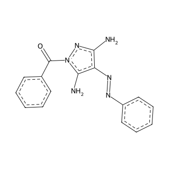 Nc1nn(C(=O)c2ccccc2)c(N)c1N=Nc1ccccc1